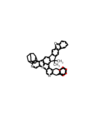 CC1(C)c2cc3c(cc2-c2cc4c5c6c(ncc5n5c7cnc8c(c7c(c21)c45)C1c2ccccc2C8c2ccccc21)C1CC2CC(C1)CC6C2)oc1ccccc13